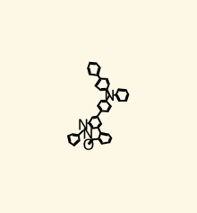 O=c1c2ccccc2c2cc(-c3ccc(N(c4ccccc4)c4ccc(-c5ccccc5)cc4)cc3)cc3nc(-c4ccccc4)n1c32